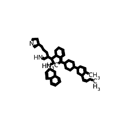 CC/C=C\C1CC(C2CCC(/C(C)=C3\C=CCCC3C(CNC3C=CC4C=CC=CC4C3)C(C=N)CCCC3C=NCC3)CC2)CC=C1C